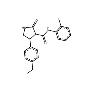 O=C1NCC(c2ccc(CF)cc2)C1C(=O)Nc1ccccc1F